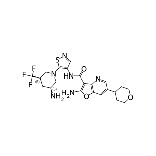 Nc1oc2cc(C3CCOCC3)cnc2c1C(=O)Nc1cnsc1N1C[C@@H](N)C[C@@H](C(F)(F)F)C1